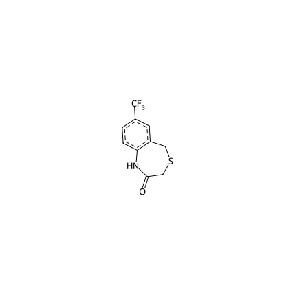 O=C1CSCc2cc(C(F)(F)F)ccc2N1